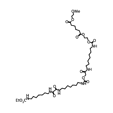 CCOC(=O)NCCCCCCCNC(=O)C(=O)NCCCCCCCNC(=O)OCC(=O)NCCCCCCCNC(=O)OCCOC(=O)CCCCC(=O)OCCOC